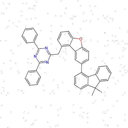 CC1(C)c2ccccc2-c2c(-c3ccc4oc5cccc(Cc6nc(-c7ccccc7)nc(-c7ccccc7)n6)c5c4c3)cccc21